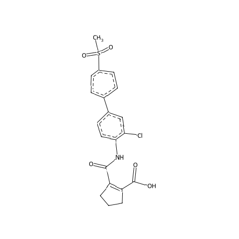 CS(=O)(=O)c1ccc(-c2ccc(NC(=O)C3=C(C(=O)O)CCC3)c(Cl)c2)cc1